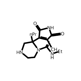 CCCC1(C2=C(C)C(=O)NC2=O)CNCCN1C(=S)NCC